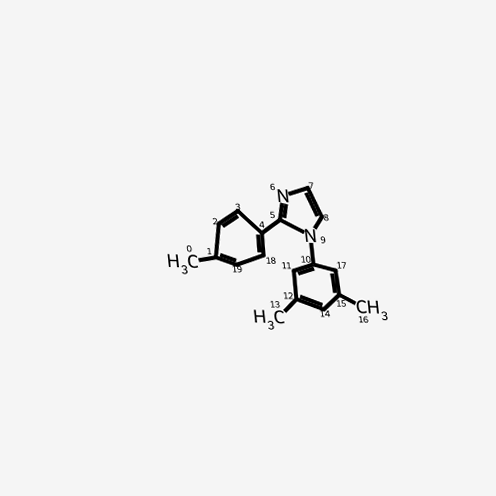 Cc1ccc(-c2nccn2-c2cc(C)cc(C)c2)cc1